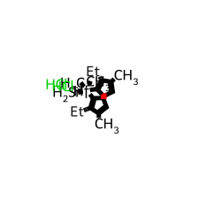 CCC1=[C]([Hf]([CH3])([CH3])(=[SiH2])[C]2=C(CC)C(C)=CC2)CC=C1C.Cl.Cl